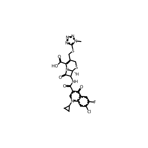 Cn1nnnc1SCC1=C(C(=O)O)N2C(=O)C(NC(=O)c3cn(C4CC4)c4cc(Cl)c(F)cc4c3=O)[C@@H]2SC1